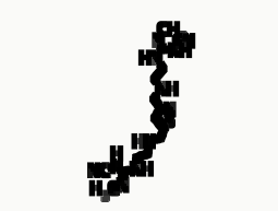 CN=C(NC#N)NCCNCc1cc(CNCCNC(=NC)NC#N)sn1